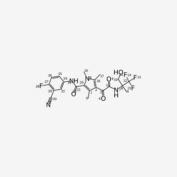 Cc1c(C(=O)C(=O)NC(C)(CO)C(F)(F)F)c(C)n(C)c1C(=O)Nc1ccc(F)c(C#N)c1